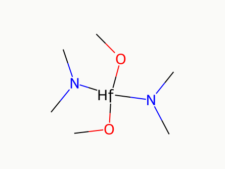 C[O][Hf]([O]C)([N](C)C)[N](C)C